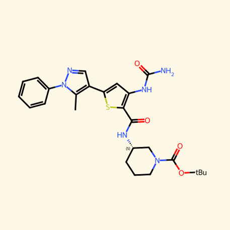 Cc1c(-c2cc(NC(N)=O)c(C(=O)N[C@H]3CCCN(C(=O)OC(C)(C)C)C3)s2)cnn1-c1ccccc1